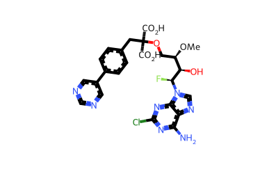 CO[C@H](COC(Cc1ccc(-c2cncnc2)cc1)(C(=O)O)C(=O)O)[C@@H](O)[C@H](F)n1cnc2c(N)nc(Cl)nc21